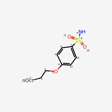 CCCCCCCCCCOc1ccc(S([NH])(=O)=O)cc1